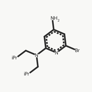 CC(C)CN(CC(C)C)c1cc(N)cc(Br)n1